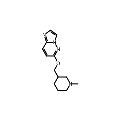 CN1CCCC(COc2ccc3nccn3n2)C1